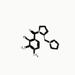 Cc1ccc(C(=O)N2CCC[C@H]2CN2CCCC2)c(Cl)c1C